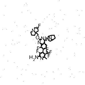 Cc1nc(N)c(F)c(-c2c(F)cc3c(N4CC5CCC(C4)N5)nc(OCC45CCCN4C[C@H](F)C5)nc3c2F)c1C(F)(F)F